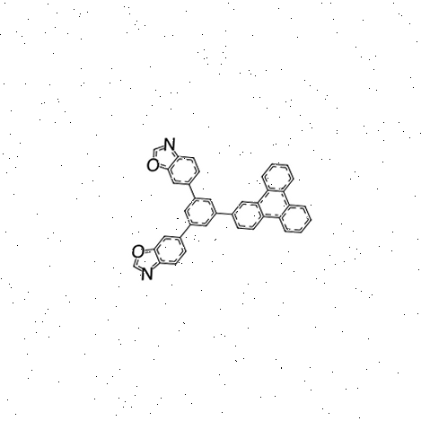 c1ccc2c(c1)c1ccccc1c1cc(-c3cc(-c4ccc5ncoc5c4)cc(-c4ccc5ncoc5c4)c3)ccc21